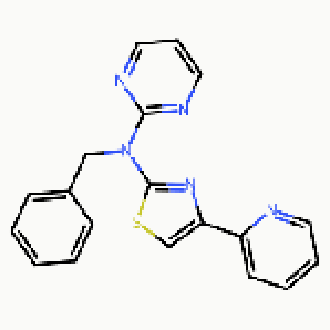 c1ccc(CN(c2ncccn2)c2nc(-c3ccccn3)cs2)cc1